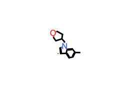 Cc1ccc2[c]cn(CC3CCOCC3)c2c1